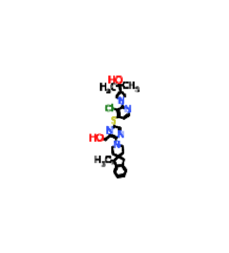 C[C@@H]1c2ccccc2CC12CCN(c1ncc(Sc3ccnc(N4CC(C(C)(C)O)C4)c3Cl)nc1CO)CC2